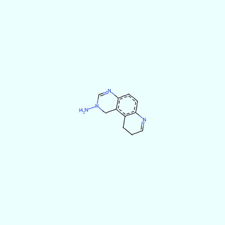 NN1C=Nc2ccc3c(c2C1)CCC=N3